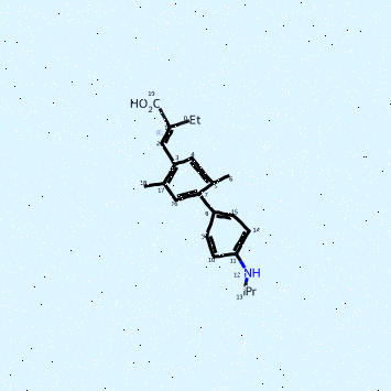 CC/C(=C\c1cc(C)c(-c2ccc(NC(C)C)cc2)cc1C)C(=O)O